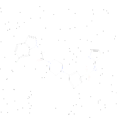 C[C@H](C(=O)N1CCN(c2cccc(S(=O)(=O)Nc3nccs3)c2)CC1)n1ccc2ccc(Cl)cc21